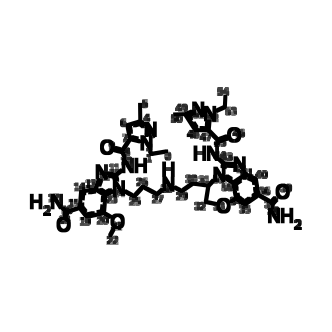 CCn1nc(C)cc1C(=O)Nc1nc2cc(C(N)=O)cc(OC)c2n1CCCNCCC1COc2cc(C(N)=O)cc3nc(NC(=O)c4cc(C)nn4CC)n1c23